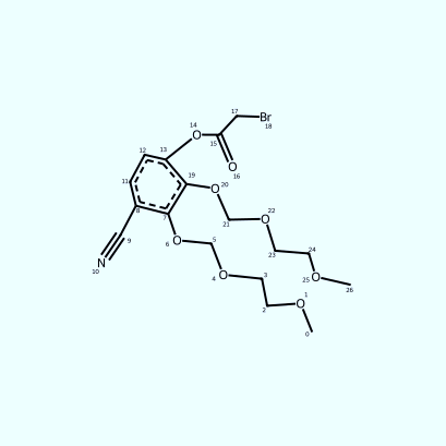 COCCOCOc1c(C#N)ccc(OC(=O)CBr)c1OCOCCOC